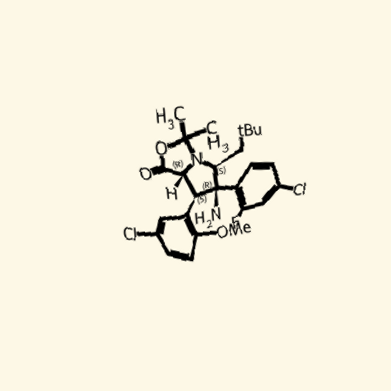 COc1ccc(Cl)cc1[C@H]1[C@@H]2C(=O)OC(C)(C)N2[C@@H](CC(C)(C)C)[C@]1(N)c1ccc(Cl)cc1F